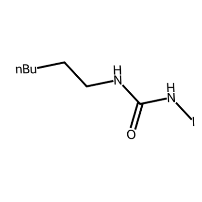 CCCCCCNC(=O)NI